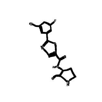 O=C(N[C@H]1CCNC1=O)c1cnc(-c2cc(F)cc(Cl)c2)s1